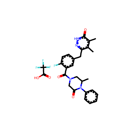 Cc1c(Cc2ccc(F)c(C(=O)N3CC(=O)N(c4ccccc4)C(C)C3)c2)n[nH]c(=O)c1C.O=C(O)C(F)(F)F